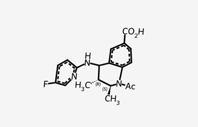 CC(=O)N1c2ccc(C(=O)O)cc2C(Nc2ccc(F)cn2)[C@@H](C)[C@@H]1C